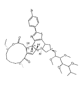 CC[C@H]1CCCC[C@@H](C)C(=O)C2=C[C@@H]3[C@@H](c4nc(-c5ccc(Br)cc5)sc4C4C[C@@H](OC(OC)C(OC)C(OC)C(OC)C(C)C)C[C@H]43)[C@@H]2CC(=O)O1